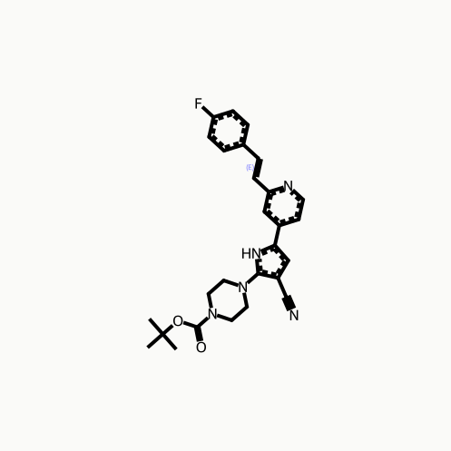 CC(C)(C)OC(=O)N1CCN(c2[nH]c(-c3ccnc(/C=C/c4ccc(F)cc4)c3)cc2C#N)CC1